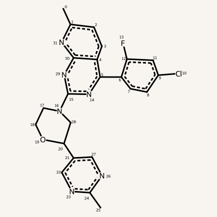 Cc1ccc2c(-c3ccc(Cl)cc3F)nc(N3CCOC(c4cnc(C)nc4)C3)nc2n1